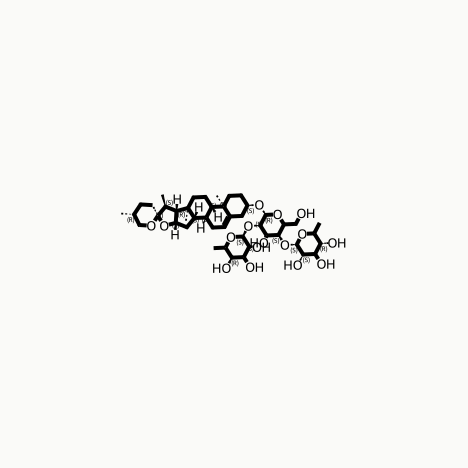 CC1O[C@@H](O[C@@H]2C(CO)O[C@@H](O[C@H]3CC[C@@]4(C)C(=CC[C@H]5[C@@H]6C[C@@H]7O[C@]8(CC[C@@H](C)CO8)[C@@H](C)[C@@H]7[C@@]6(C)CC[C@@H]54)C3)[C@@H](O[C@@H]3OC(C)[C@H](O)C(O)[C@@H]3O)C2O)[C@@H](O)C(O)[C@H]1O